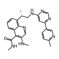 CNC(=O)c1c(NC)cnc2c([C@H](C)CNc3cc(-c4ccc(C)nc4)ncn3)cccc12